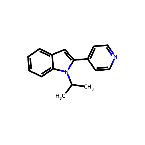 CC(C)n1c(-c2ccncc2)cc2ccccc21